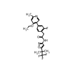 CCOc1cc(C)ncc1-c1ccc(CC(=O)Nc2cc(C(C)(C)C(F)(F)F)on2)c(F)c1